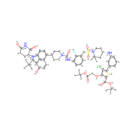 CC(C)(C)OC(=O)COc1c(C(=O)OC(C)(C)C)sc(-c2cccc(N[C@H]3CCN(S(=O)(=O)Cc4cccc(NC(=O)N5CCC(c6ccc7c8c6C=CC(=O)c8c(C(C)(C)C)n7C6CCC(=O)NC6=O)CC5)c4F)C(C)(C)C3)c2)c1Cl